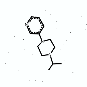 CC(C)N1CCN(c2cccnc2)CC1